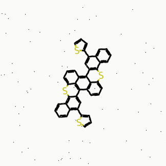 c1csc(-c2cc3c(sc4cccc5c4c3c3cccc4sc6c7ccccc7c(-c7cccs7)cc6c5c43)c3ccccc23)c1